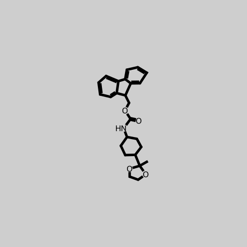 CC1(C2CCC(NC(=O)OCC3c4ccccc4-c4ccccc43)CC2)OCCO1